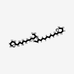 CCC(CCCCCCCCCC1CCCCO1)SC(CC)CCCCCCCCCC1CCCCO1